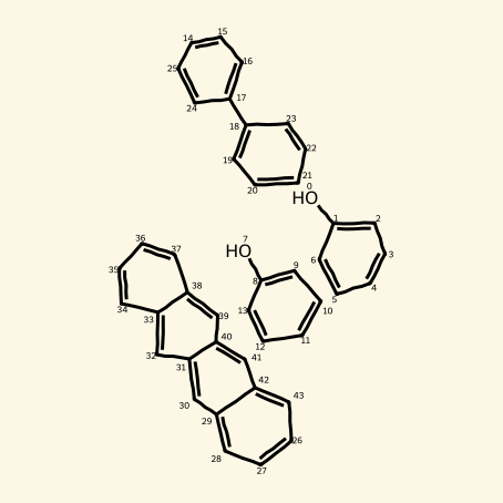 Oc1ccccc1.Oc1ccccc1.c1ccc(-c2ccccc2)cc1.c1ccc2cc3cc4ccccc4cc3cc2c1